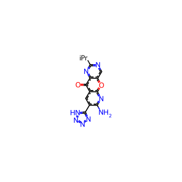 CC(C)c1ncc2oc3nc(N)c(-c4nnn[nH]4)cc3c(=O)c2n1